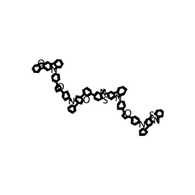 CN1c2ccccc2Sc2cc3c(cc21)c1ccccc1n3-c1ccc(-c2ccc(-c3ccc(-n4c5ccccc5c5cc6c(cc54)Sc4ccc(-c5cccc7c5oc5cc8c9ccccc9n(-c9ccc(-c%10ccc(-c%11ccc(-n%12c%13ccccc%13c%13cc%14oc%15ccccc%15c%14cc%13%12)cc%11)o%10)cc9)c8cc57)cc4N6C)cc3)o2)cc1